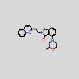 CC1CN(c2cccc3c2C(=O)N(CCc2ccc4ccccc4n2)C3)CCO1